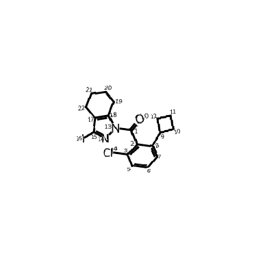 O=C(c1c(Cl)cccc1C1CCC1)n1nc(I)c2c1CCCC2